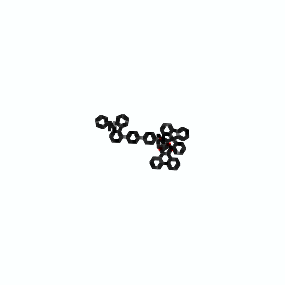 c1ccc(-n2c3ccccc3c3c(-c4ccc(-c5ccc(N(c6ccc7c8ccccc8c8ccccc8c7c6)c6cccc7c6C6(c8ccccc8-c8ccccc86)c6ccccc6-7)cc5)cc4)cccc32)cc1